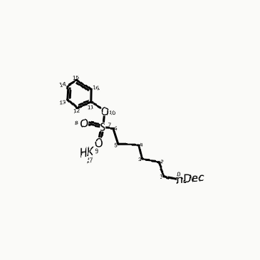 CCCCCCCCCCCCCCCCS(=O)(=O)Oc1ccccc1.[KH]